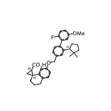 COc1ccc(F)c(-c2ccc(COc3ccc4c(c3)[C@]3(CCC4)C[C@H]3C(=O)O)cc2[C@H]2CCCC2(C)C)c1